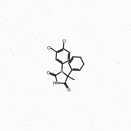 CC1(C2=CC[CH]C=C2)C(=O)NC(=O)N1c1ccc(Cl)c(Cl)c1